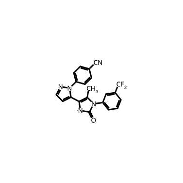 CC1=C(c2ccnn2-c2ccc(C#N)cc2)[N]C(=O)N1c1cccc(C(F)(F)F)c1